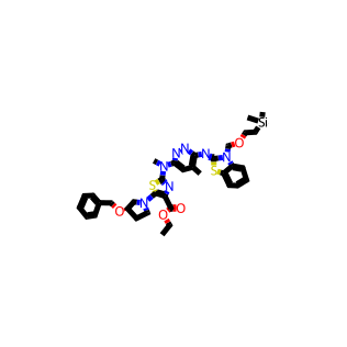 CCOC(=O)c1nc(N(C)c2cc(C)c(/N=c3\sc4ccccc4n3COCC[Si](C)(C)C)nn2)sc1N1CC[C@@H](OCc2ccccc2)C1